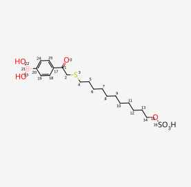 O=C(CSCCCCCCCCCCCOS(=O)(=O)O)c1ccc(B(O)O)cc1